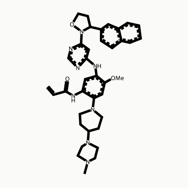 C=CC(=O)Nc1cc(Nc2cc(N3OCCC3c3ccc4ccccc4c3)ncn2)c(OC)cc1N1CCC(N2CCN(C)CC2)CC1